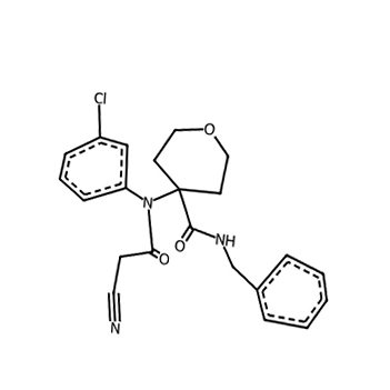 N#CCC(=O)N(c1cccc(Cl)c1)C1(C(=O)NCc2ccccc2)CCOCC1